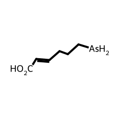 O=C(O)C=CCCC[AsH2]